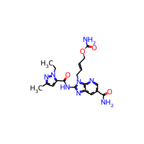 CCn1nc(C)cc1C(=O)Nc1nc2cc(C(N)=O)cnc2n1CC=CCOC(N)=O